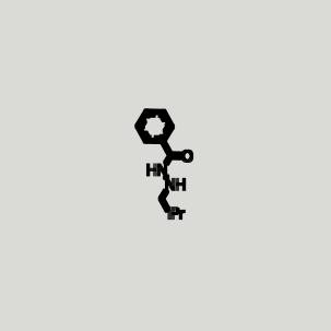 CC(C)CNNC(=O)c1ccccc1